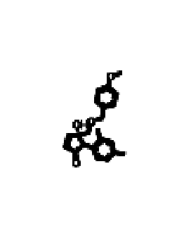 COc1ccc(COC[C@]2(O)C=CC(=O)C2c2ccc(C)cc2C)cc1